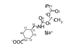 CC(C)C(=O)O[C@H](C)OC(=O)NC[C@H]1CC[C@H](C(=O)[O-])CC1.[Na+]